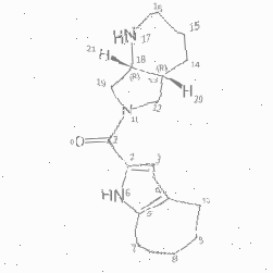 O=C(c1cc2c([nH]1)CCCC2)N1C[C@H]2CCCN[C@H]2C1